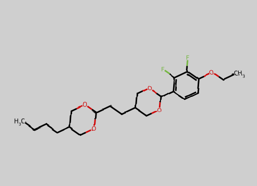 CCCCC1COC(CCC2COC(c3ccc(OCC)c(F)c3F)OC2)OC1